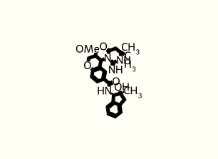 COC1COc2ccc(C(=O)N[C@@H]3c4ccccc4C[C@@]3(C)O)cc2C1N1C(=N)NC(C)(C)CC1=O